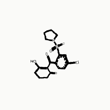 O=C1CCCC(O)=C1C(=O)c1ccc(Cl)cc1S(=O)(=O)N1CCCC1